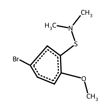 COc1ccc(Br)cc1SN(C)C